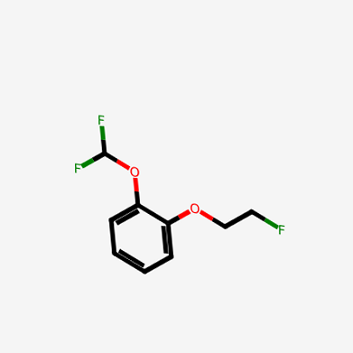 FCCOc1ccccc1OC(F)F